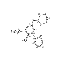 CCOC(=O)c1cn(CC2CCOCC2)cc(-c2ccccc2)c1=O